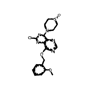 COc1ccccc1COc1ncnc2c(N3CC[S+]([O-])CC3)nc(Cl)nc12